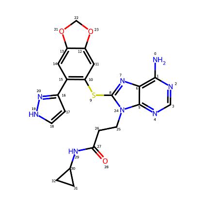 Nc1ncnc2c1nc(Sc1cc3c(cc1-c1cc[nH]n1)OCO3)n2CCC(=O)NC1CC1